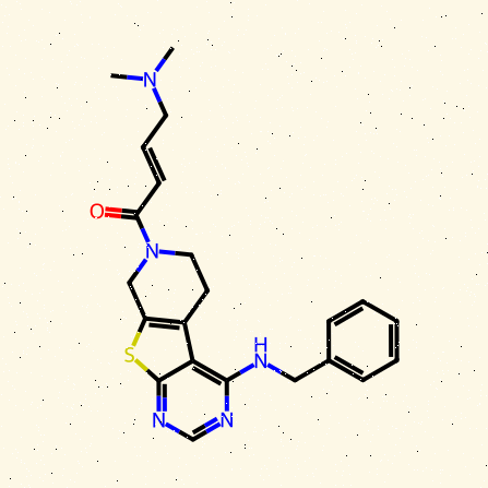 CN(C)CC=CC(=O)N1CCc2c(sc3ncnc(NCc4ccccc4)c23)C1